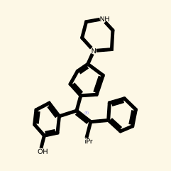 CC(C)/C(=C(/c1ccc(N2CCNCC2)cc1)c1cccc(O)c1)c1ccccc1